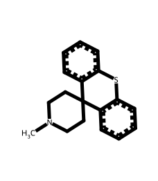 CN1CCC2(CC1)c1ccccc1Sc1ccccc12